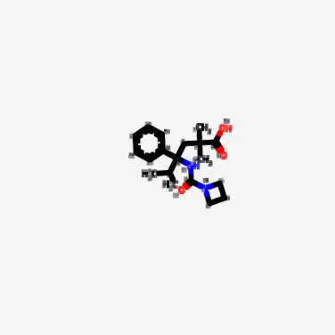 CC(C)C(CC(C)(C)C(=O)O)(NC(=O)N1CCC1)c1ccccc1